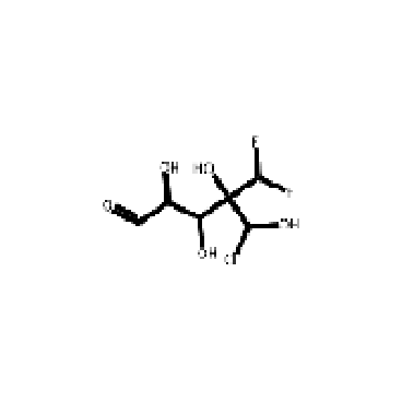 O=CC(O)C(O)C(O)(C(F)F)C(O)Cl